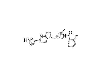 C[C@@H]1C[C@@H](Cn2ccc3nc(-c4cn[nH]c4)ccc32)CN1C(=O)c1ccccc1F